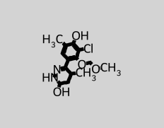 COCOc1c(C2=NNC(O)CC2C)cc(C)c(O)c1Cl